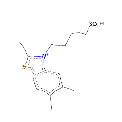 Cc1cc2sc(C)[n+](CCCCS(=O)(=O)O)c2cc1C